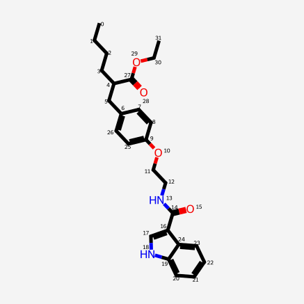 CCCCC(Cc1ccc(OCCNC(=O)c2c[nH]c3ccccc23)cc1)C(=O)OCC